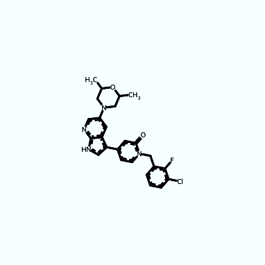 CC1CN(c2cnc3[nH]cc(-c4ccn(Cc5cccc(Cl)c5F)c(=O)c4)c3c2)CC(C)O1